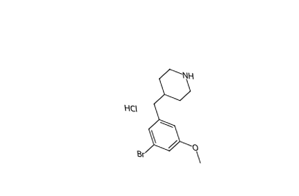 COc1cc(Br)cc(CC2CCNCC2)c1.Cl